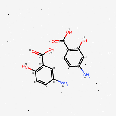 Nc1ccc(C(=O)O)c(O)c1.Nc1ccc(O)c(C(=O)O)c1